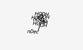 CCCCCCCCCCCCCC[C@@H](O)[C@@H](O)[C@H](COC1OC(CO)C(O)C(O)C1O)NC(=O)CCCCCCCC